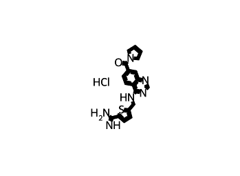 Cl.N=C(N)c1ccc(CNc2ncnc3cc(C(=O)N4CC=CC4)ccc23)s1